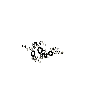 COc1ccc(N(C(C)=O)c2nc3cc(N(C)c4ccnc(N(C)c5ccc(S(C)(=O)=O)cc5)n4)ccc3n2C)cc1OC